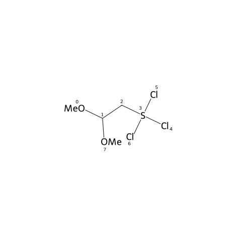 COC(CS(Cl)(Cl)Cl)OC